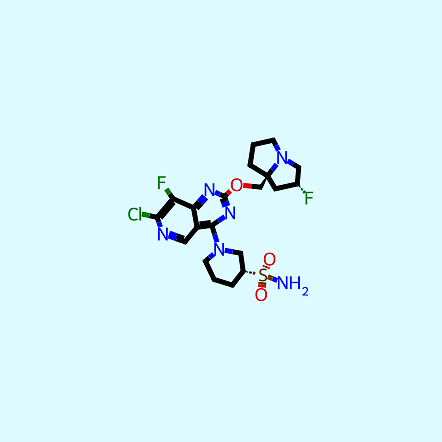 NS(=O)(=O)[C@@H]1CCCN(c2nc(OC[C@@]34CCCN3C[C@H](F)C4)nc3c(F)c(Cl)ncc23)C1